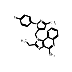 CCc1nc2c(N)nc3ccccc3c2n1Cc1cc(C)nn1-c1ccc(F)cc1